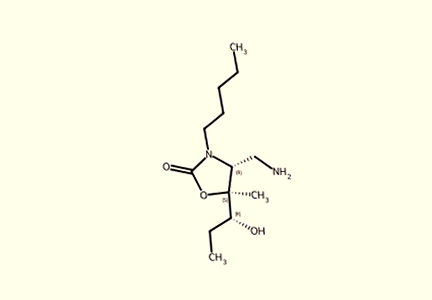 CCCCCN1C(=O)O[C@](C)([C@H](O)CC)[C@H]1CN